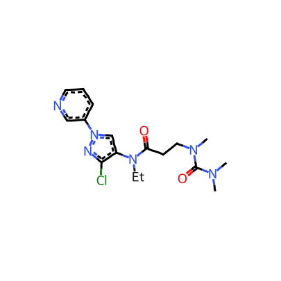 CCN(C(=O)CCN(C)C(=O)N(C)C)c1cn(-c2cccnc2)nc1Cl